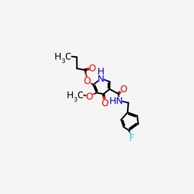 CCCC(=O)Oc1[nH]cc(C(=O)NCc2ccc(F)cc2)c(=O)c1OC